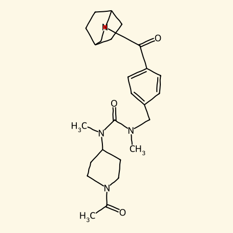 CC(=O)N1CCC(N(C)C(=O)N(C)Cc2ccc(C(=O)N3CC4CCC(CC4)C3)cc2)CC1